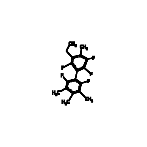 CCc1c(C)c(F)c(F)c(-c2c(F)c(C)c(C)c(C)c2F)c1F